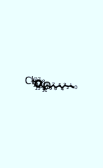 C=CCCCCCCCOC(C)c1ccc(Cl)cc1